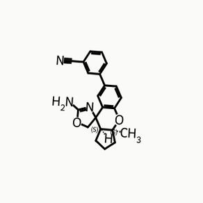 C[C@]12CCC[C@H]1C1(COC(N)=N1)c1cc(-c3cccc(C#N)c3)ccc1O2